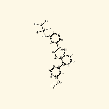 FC(F)C(F)(F)Oc1cccc([C@@H]2COc3c(cccc3-c3cccc(OC(F)(F)F)c3)N2)c1